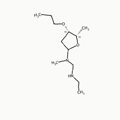 CCCO[C@H]1CC(N(C)CNCC)O[C@H]1C